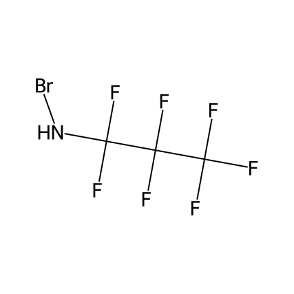 FC(F)(F)C(F)(F)C(F)(F)NBr